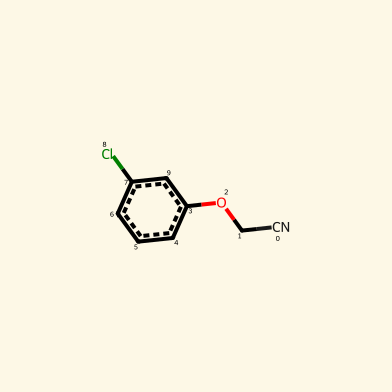 N#CCOc1cc[c]c(Cl)c1